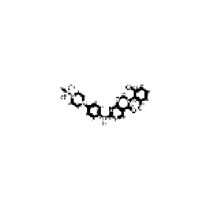 CS(=O)(=O)N1CCN(c2ccc(Nc3ncc4c(n3)OCN(c3c(Cl)cccc3Cl)C4=O)cc2)CC1